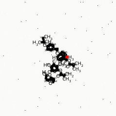 C=C(C)C(=O)OC(C)(C)C12CC3CC(CC(C3)C1)C2.C=C(C)C(=O)Oc1cc(C)c(O)c(C)c1C.C=Cc1ccc(OC(C)(C)CC)cc1.O=C1OC2[CH]C3CC1C2O3